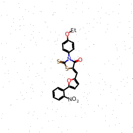 CCOc1ccc(N2C(=O)C(=Cc3ccc(-c4ccccc4[N+](=O)[O-])o3)SC2=S)cc1